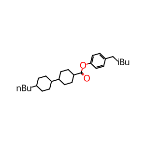 CCCCC1CCC(C2CCC(C(=O)Oc3ccc(CC(C)CC)cc3)CC2)CC1